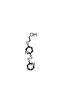 OCCSc1ccc(SSc2ccccn2)nc1